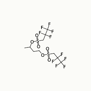 CC(CCOS(=O)(=O)CC(F)(F)C(F)(F)F)OS(=O)(=O)CC(F)(F)C(F)(F)F